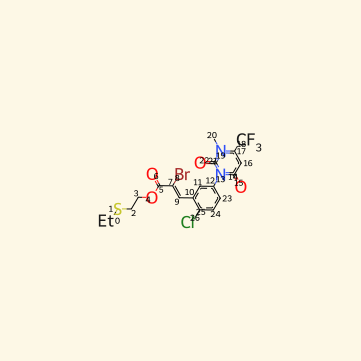 CCSCCOC(=O)C(Br)=Cc1cc(-n2c(=O)cc(C(F)(F)F)n(C)c2=O)ccc1Cl